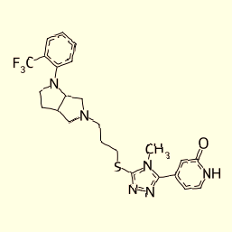 Cn1c(SCCCN2CC3CCN(c4ccccc4C(F)(F)F)C3C2)nnc1-c1cc[nH]c(=O)c1